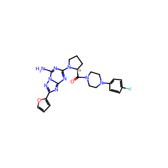 Nc1nc(N2CCC[C@H]2C(=O)N2CCN(c3ccc(F)cc3)CC2)nc2nc(-c3ccco3)nn12